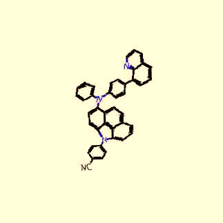 N#Cc1ccc(-n2c3cccc4ccc5c(N(c6ccccc6)c6ccc(-c7cccc8cccnc78)cc6)ccc2c5c43)cc1